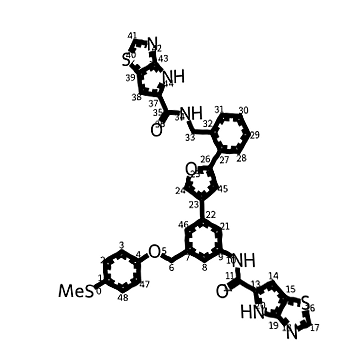 CSc1ccc(OCc2cc(NC(=O)c3cc4scnc4[nH]3)cc(-c3coc(-c4ccccc4CNC(=O)c4cc5scnc5[nH]4)c3)c2)cc1